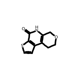 O=c1[nH]c2c(c3ccsc13)CCOC2